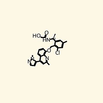 Cc1cc(Cl)c(COc2cccc3c(-c4ccnn4C)cc(C)nc23)c([C@H](C)NC(=O)CO)c1